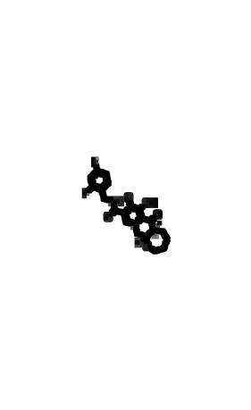 C[C@]12CCCCO[C@@H]1Cn1cc(C(=O)NCc3ccc(F)cc3F)c(=O)c(O)c1C2=O